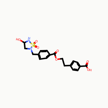 O=C(O)c1ccc(CCOC(=O)c2ccc(CN3CC(O)NS3(=O)=O)cc2)cc1